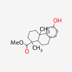 COC(=O)C1(C)CCCC2(C)c3cc(O)ccc3CCC12